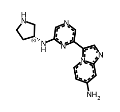 Nc1ccn2c(-c3cncc(N[C@@H]4CCNC4)n3)cnc2c1